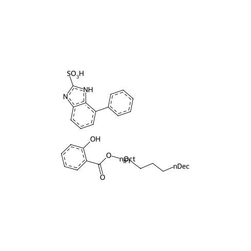 CCCCCCCCCCCCCC(C)C.CCCCCCCCOC(=O)c1ccccc1O.O=S(=O)(O)c1nc2cccc(-c3ccccc3)c2[nH]1